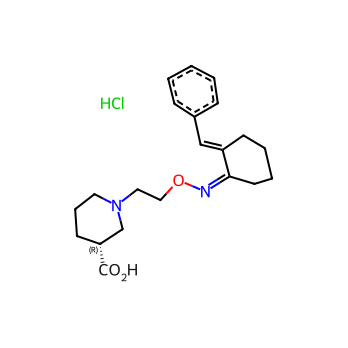 Cl.O=C(O)[C@@H]1CCCN(CCON=C2CCCCC2=Cc2ccccc2)C1